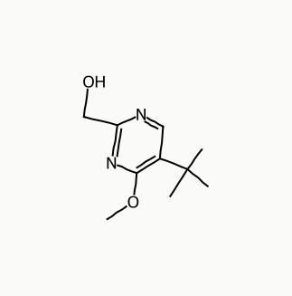 COc1nc(CO)ncc1C(C)(C)C